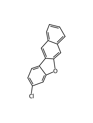 Clc1ccc2c(c1)oc1cc3ccccc3cc12